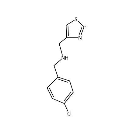 Clc1ccc(CNCc2cs[c]n2)cc1